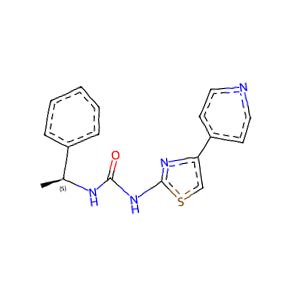 C[C@H](NC(=O)Nc1nc(-c2ccncc2)cs1)c1ccccc1